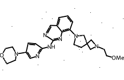 COCCN1CC2(CCN(c3cccc4cnc(Nc5ccc(N6CCOCC6)cn5)nc34)C2)C1